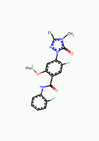 CCC[C@H](C)Oc1cc(-n2nc(CC)n(C)c2=O)c(F)cc1C(=O)Nc1ccccc1F